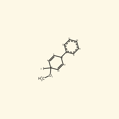 COC1(I)[C]=CC(c2ccccc2)C=C1